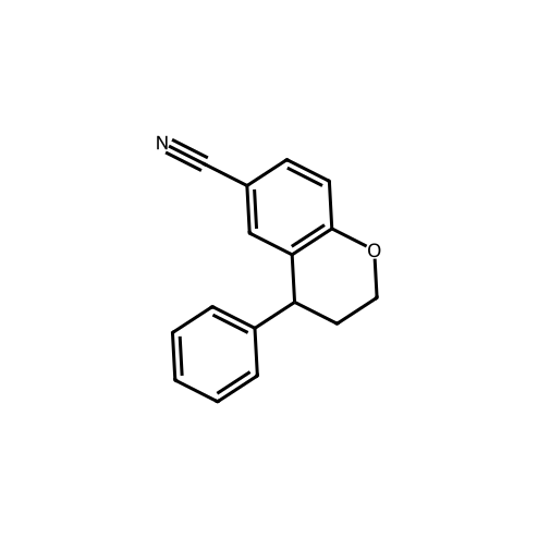 N#Cc1ccc2c(c1)C(c1ccccc1)CCO2